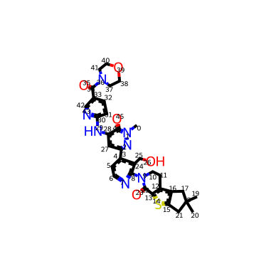 Cn1nc(-c2ccnc(N3CCc4c(sc5c4CC(C)(C)C5)C3=O)c2CO)cc(Nc2ccc(C(=O)N3CCOCC3)cn2)c1=O